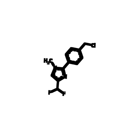 Cn1cc(C(F)F)nc1-c1ccc(CCl)cc1